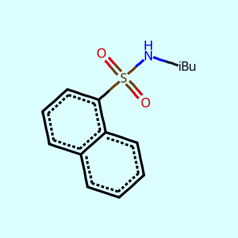 CCC(C)NS(=O)(=O)c1cccc2ccccc12